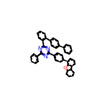 c1ccc(-c2ccc(-c3ccccc3-c3nc(-c4ccccc4)nc(-c4ccc(-c5cccc6c5oc5ccccc56)cc4)n3)cc2)cc1